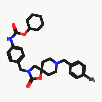 O=C(Nc1ccc(CN2CC3(CCN(Cc4ccc(C(F)(F)F)cc4)CC3)OC2=O)cc1)OC1CCCCC1